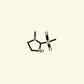 CN1CCNC1S(C)(=O)=O